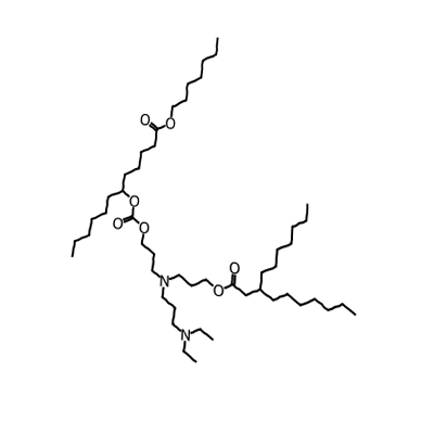 CCCCCCCOC(=O)CCCCC(CCCCCC)OC(=O)OCCCN(CCCOC(=O)CC(CCCCCCC)CCCCCCC)CCCN(CC)CC